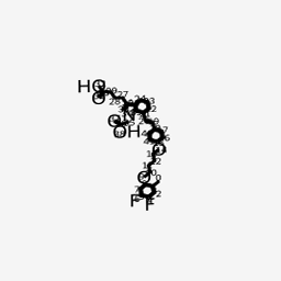 Cc1cc(F)c(F)cc1OCCCCOc1ccc(C=Cc2cccc3c(CCCC(=O)O)cn(CC(=O)O)c23)cc1